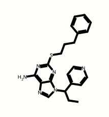 CCC(c1ccncc1)n1cnc2c(N)nc(SCCCc3ccccc3)nc21